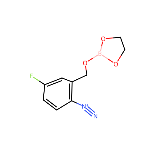 N#[N+]c1ccc(F)cc1COB1OCCO1